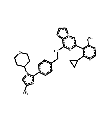 COc1ncnc(C2CC2)c1-c1nc(NCc2ccc(-c3nc(C(F)(F)F)cn3C3CCOCC3)cc2)c2nccn2n1